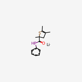 CC1=C(C)SC(C)(C(=O)Pc2ccccc2)C1.[Li]